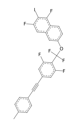 Cc1ccc(C#Cc2cc(F)c(C(F)(F)Oc3ccc4c(F)c(I)c(F)cc4c3)c(F)c2)cc1